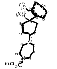 CCOC(=O)N1CCCN(C2CCC(NC)(c3ccccc3C(F)(F)F)CC2)CC1